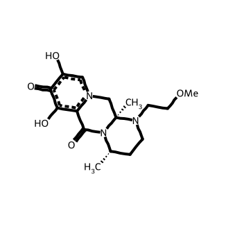 COCCN1CC[C@H](C)N2C(=O)c3c(O)c(=O)c(O)cn3C[C@@]12C